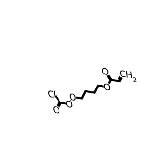 C=CC(=O)OCCCCOOC(=O)Cl